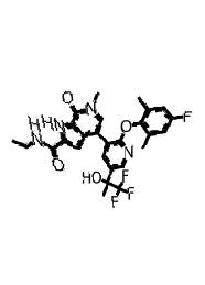 CCNC(=O)c1cc2c(-c3cc(C(C)(O)C(F)(F)F)cnc3Oc3c(C)cc(F)cc3C)cn(C)c(=O)c2[nH]1